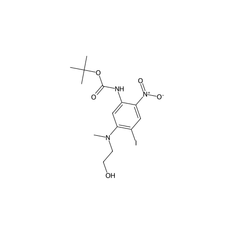 CN(CCO)c1cc(NC(=O)OC(C)(C)C)c([N+](=O)[O-])cc1I